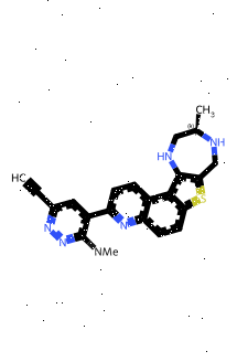 C#Cc1cc(-c2ccc3c(ccc4sc5c(c43)NC[C@@H](C)NC5)n2)c(NC)nn1